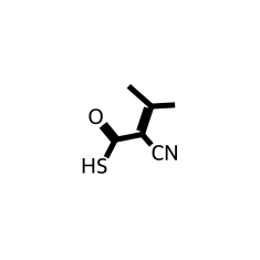 CC(C)=C(C#N)C(=O)S